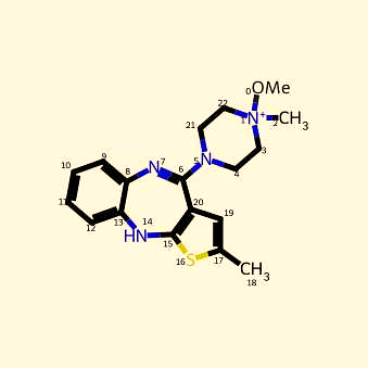 CO[N+]1(C)CCN(C2=Nc3ccccc3Nc3sc(C)cc32)CC1